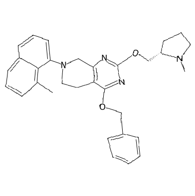 Cc1cccc2cccc(N3CCc4c(nc(OC[C@@H]5CCCN5C)nc4OCc4ccccc4)C3)c12